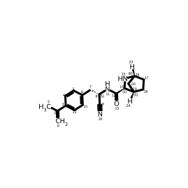 C=C(C)c1ccc(C[C@@H](C#N)NC(=O)[C@H]2N[C@@H]3CC[C@H]2C3)cc1